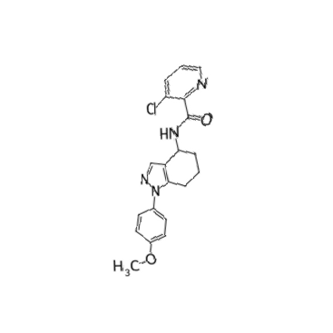 COc1ccc(-n2ncc3c2CCCC3NC(=O)c2ncccc2Cl)cc1